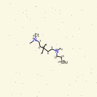 CCN(C)CCC(C)(C)CCN(C)CCC(C)(C)C